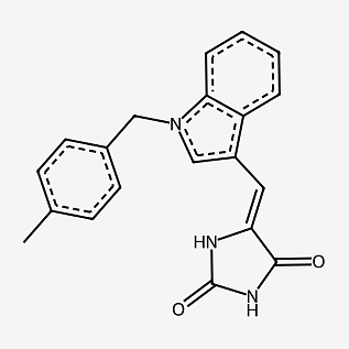 Cc1ccc(Cn2cc(/C=C3\NC(=O)NC3=O)c3ccccc32)cc1